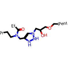 CCCC(C)COCC(O)CN1C=C(CN(CCC(C)C)C(=O)CC)NN1